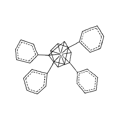 c1ccc([C]23[CH]4[CH]5[C]6(c7ccccc7)[CH]2[Cr]45362789[CH]3[CH]2[C]7(c2ccccc2)[CH]8[C]39c2ccccc2)cc1